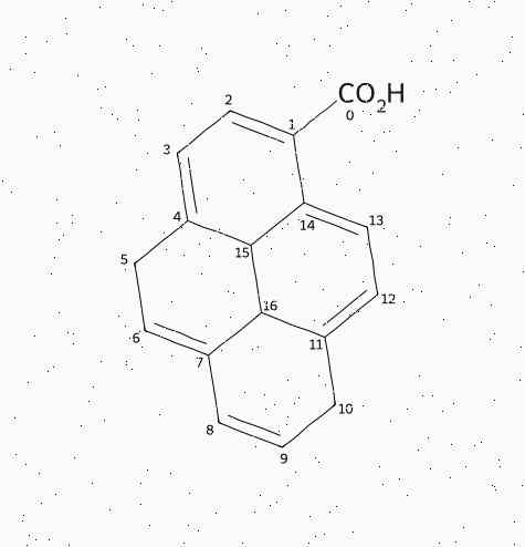 O=C(O)C1=CC=C2CC=C3C=CCC4=CC=C1C2C34